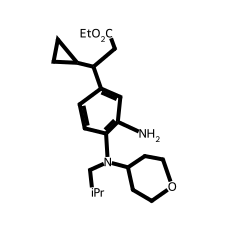 CCOC(=O)CC(c1ccc(N(CC(C)C)C2CCOCC2)c(N)c1)C1CC1